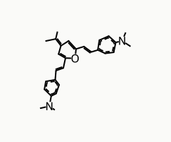 CC(C)=C1C=C(C=Cc2ccc(N(C)C)cc2)OC(C=Cc2ccc(N(C)C)cc2)=C1